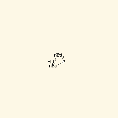 CC.CCCC[P]CCCC